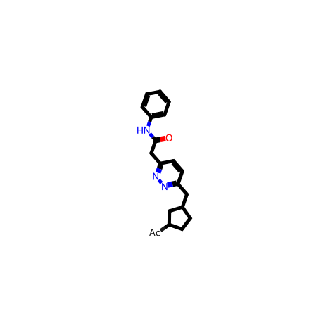 CC(=O)C1CCC(Cc2ccc(CC(=O)Nc3ccccc3)nn2)C1